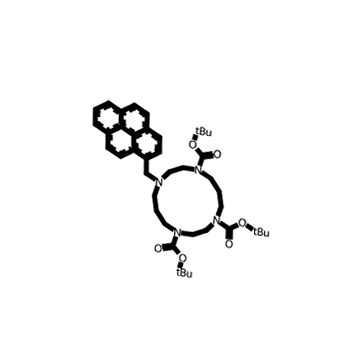 CC(C)(C)OC(=O)N1CCCN(C(=O)OC(C)(C)C)CCN(C(=O)OC(C)(C)C)CCCN(Cc2ccc3ccc4cccc5ccc2c3c45)CC1